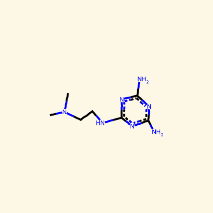 CN(C)CCNc1nc(N)nc(N)n1